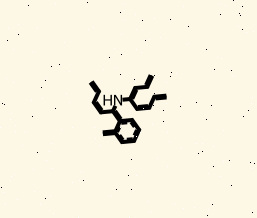 C=C/C=C\C(=C/C=C)NC(/C=C\C=C)=c1\ccccc1=C